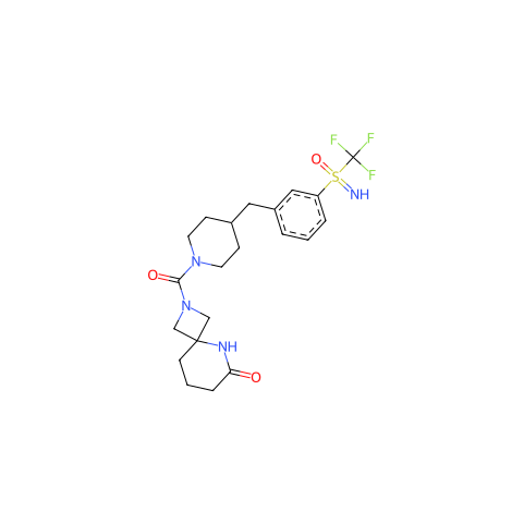 N=S(=O)(c1cccc(CC2CCN(C(=O)N3CC4(CCCC(=O)N4)C3)CC2)c1)C(F)(F)F